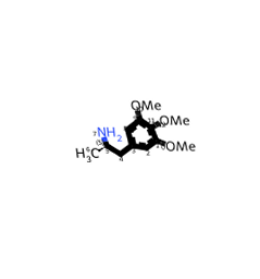 COc1cc(C[C@H](C)N)cc(OC)c1OC